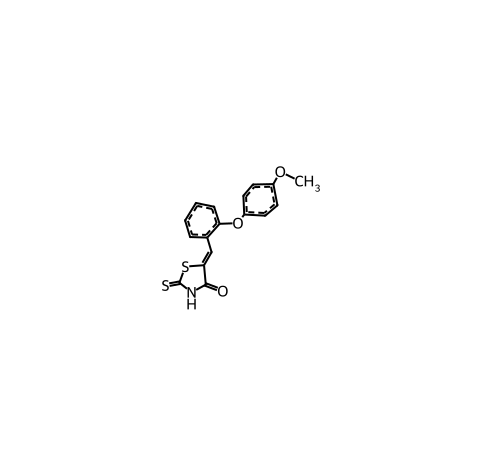 COc1ccc(Oc2ccccc2/C=C2\SC(=S)NC2=O)cc1